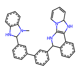 CN1c2ccccc2NC1c1cccc(-c2cccc(C3NC4=C(NC5C=CC=CN45)c4ccccc43)c2)c1